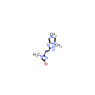 CN1C=C[N+]2(C)NC(/C=C/c3nc(Br)cn3C)=NC2=C1